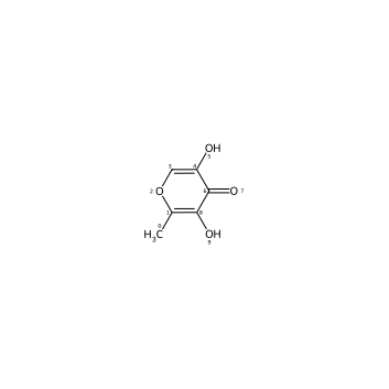 Cc1occ(O)c(=O)c1O